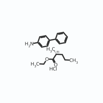 CCC[C@@H](C)C(=O)OCC.Cl.Nc1ccc(-c2ccccc2)cc1